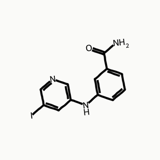 NC(=O)c1cccc(Nc2cncc(I)c2)c1